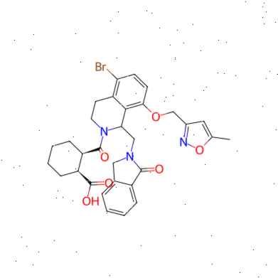 Cc1cc(COc2ccc(Br)c3c2C(CN2Cc4ccccc4C2=O)N(C(=O)[C@@H]2CCCC[C@@H]2C(=O)O)CC3)no1